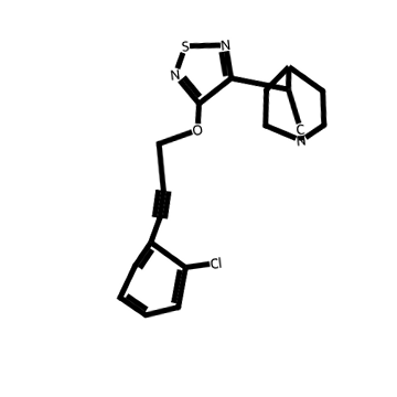 Clc1ccccc1C#CCOc1nsnc1C1CN2CCC1CC2